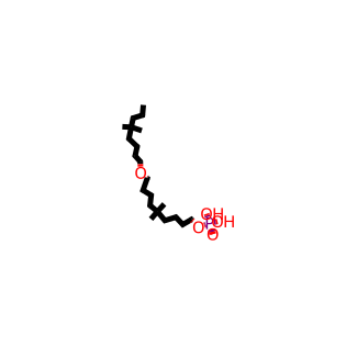 CCCC(C)(C)CCCCOCCCCC(C)(C)CCCCOP(=O)(O)O